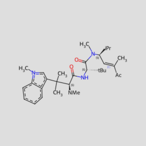 CN[C@H](C(=O)N[C@H](C(=O)N(C)[C@H](/C=C(\C)C(C)=O)C(C)C)C(C)(C)C)C(C)(C)c1cn(C)c2ccccc12